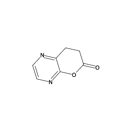 O=C1CCc2nccnc2O1